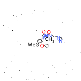 COc1ccc(C2CC(=O)N(C(=O)NCCCn3ccnc3)N2C)cc1OC1CCCC1